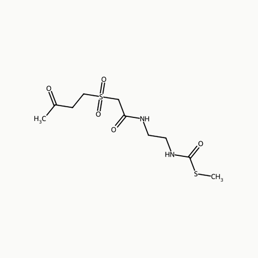 CSC(=O)NCCNC(=O)CS(=O)(=O)CCC(C)=O